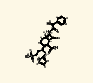 O=C(O)C1=C(C(CCS(=O)(=O)O)Sc2nnn[nH]2)CS[C@H]2C(NC(=O)C(O)c3ccccc3)C(=O)N12